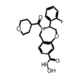 O=C(NO)c1ccc2c(c1)OCC(c1ccccc1F)N(C(=O)C1CCOCC1)C2